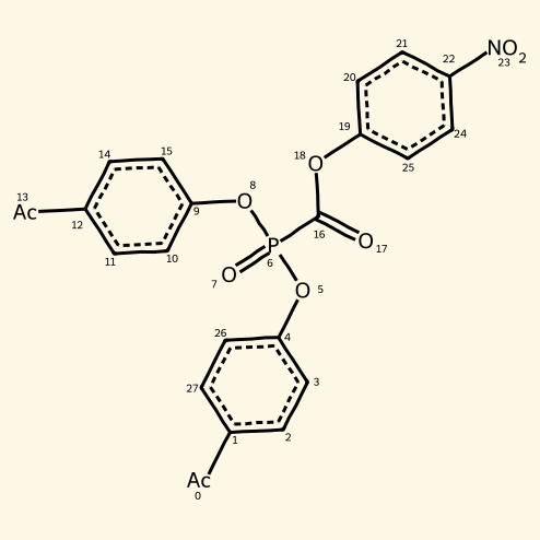 CC(=O)c1ccc(OP(=O)(Oc2ccc(C(C)=O)cc2)C(=O)Oc2ccc([N+](=O)[O-])cc2)cc1